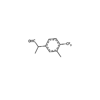 Cc1cc(C(C)C=O)ccc1C(F)(F)F